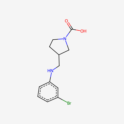 O=C(O)N1CCC(CNc2cccc(Br)c2)C1